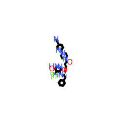 N#Cc1ccc(N2CCN(C(=O)CCOC[C@H](Cc3ccccc3)Nc3cn[nH]c(=O)c3C(F)(F)F)CC2)nc1